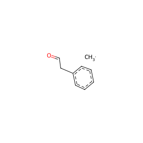 O=CCc1ccccc1.[CH3]